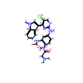 CC(=O)Nc1cc(Nc2ncc(Cl)c(-c3cn(C)c4ccccc34)n2)ccc1N(C)C(=O)CN(C)C